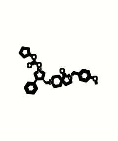 COc1ccc(CN2CCC3(CCN(C[C@H]4CN(OC(=O)OC5CCCC5)C[C@@H]4c4ccccc4)CC3)C2=O)cc1